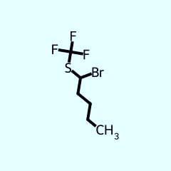 CCCCC(Br)SC(F)(F)F